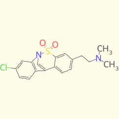 CN(C)CCc1ccc2c(c1)S(=O)(=O)n1cc-2c2ccc(Cl)cc21